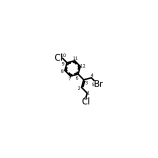 ClC/C=C(\CBr)c1ccc(Cl)cc1